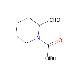 CC(C)COC(=O)N1CCCCC1C=O